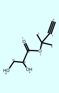 C#CC(C)(C)OC(=O)C(O)CO